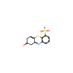 CS(=O)(=O)c1cccc2c1SC1=CCC(=O)CC1=N2